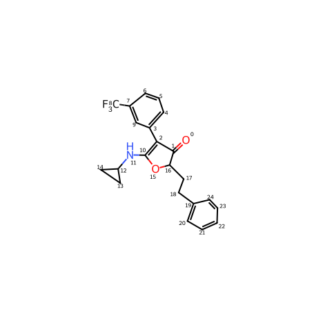 O=C1C(c2cccc(C(F)(F)F)c2)=C(NC2CC2)OC1CCc1ccccc1